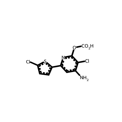 Nc1cc(-c2ccc(Cl)s2)nc(OC(=O)O)c1Cl